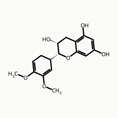 COC1=CCC([C@H]2Oc3cc(O)cc(O)c3C[C@H]2O)C=C1OC